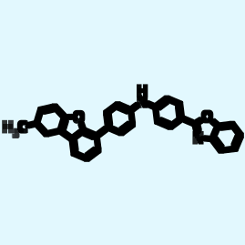 CC1C=Cc2oc3c(-c4ccc(Nc5ccc(-c6nc7ccccc7o6)cc5)cc4)cccc3c2C1